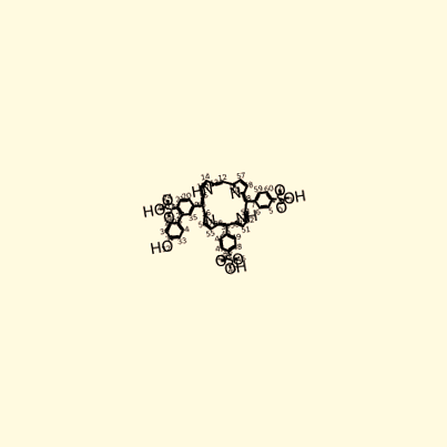 O=S(=O)(O)c1ccc(-c2c3nc(cc4ccc([nH]4)c(-c4ccc(S(=O)(=O)O)c(-c5ccc(O)cc5)c4)c4nc(c(-c5ccc(S(=O)(=O)O)cc5)c5ccc2[nH]5)C=C4)C=C3)cc1